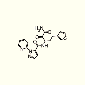 NC(=O)C(=O)C(CCc1ccsc1)NC(=O)c1ccnn1-c1ccccn1